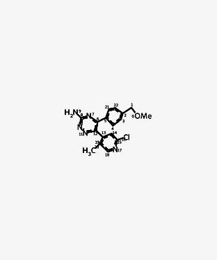 COCc1ccc(-c2nc(N)nnc2-c2cc(Cl)ncc2C)cc1